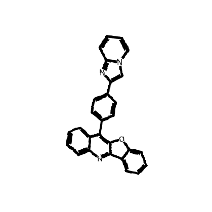 c1ccc2c(-c3ccc(-c4cn5ccccc5n4)cc3)c3oc4ccccc4c3nc2c1